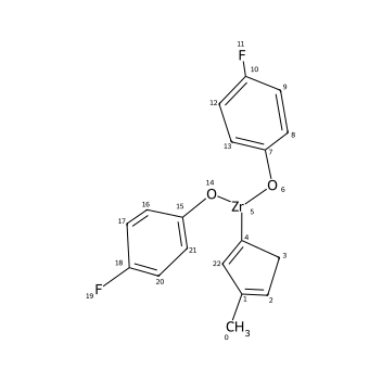 CC1=CC[C]([Zr]([O]c2ccc(F)cc2)[O]c2ccc(F)cc2)=C1